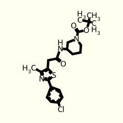 Cc1nc(-c2ccc(Cl)cc2)sc1CC(=O)NC1CCCN(C(=O)OC(C)(C)C)C1